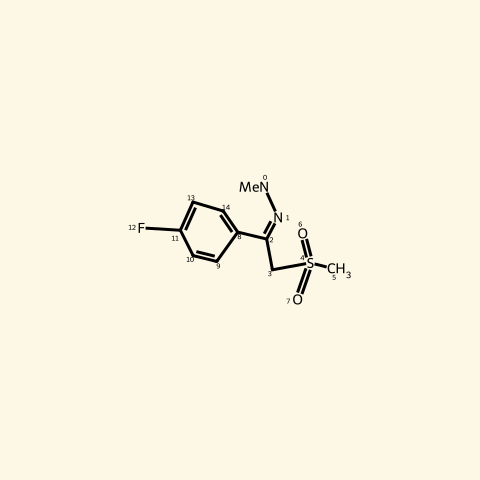 CN/N=C(/CS(C)(=O)=O)c1ccc(F)cc1